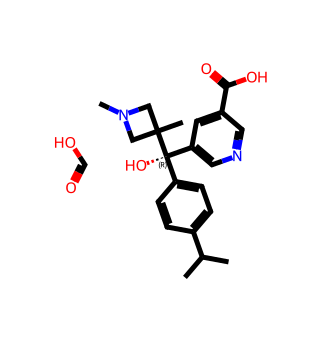 CC(C)c1ccc([C@](O)(c2cncc(C(=O)O)c2)C2(C)CN(C)C2)cc1.O=CO